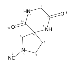 N#CN1CCC2(C1)NC(=O)CNC2=O